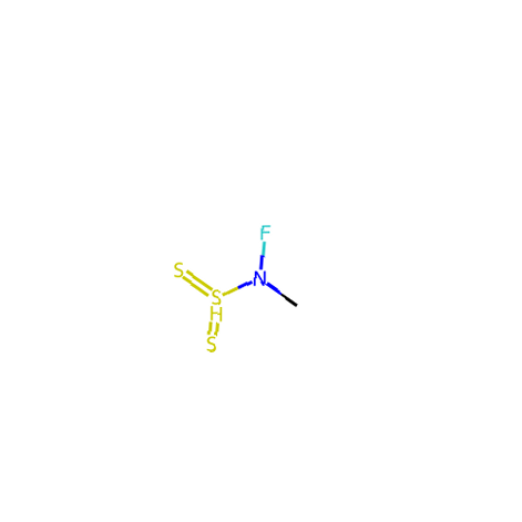 CN(F)[SH](=S)=S